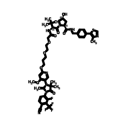 C=C1N(c2ccc(C#N)c(C(F)(F)F)c2F)C(=O)C(C)(C)N1c1cnc(OCCCOCCOCC(=O)N[C@H](C(=O)N2C[C@H](O)C[C@H]2C(=O)NCc2ccc(-c3scnc3C)cc2)C(C)(C)C)cc1OC